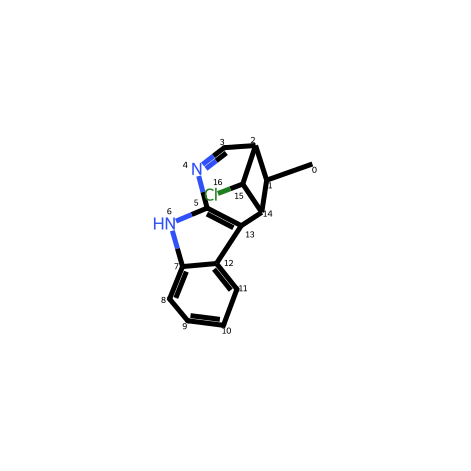 CC1C2C=Nc3[nH]c4ccccc4c3C1C2Cl